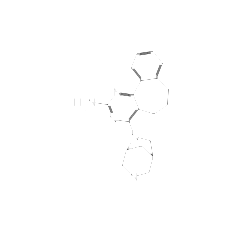 Nc1nc2c(c(N3CC4CNCC3C4)n1)CCCc1ccccc1-2